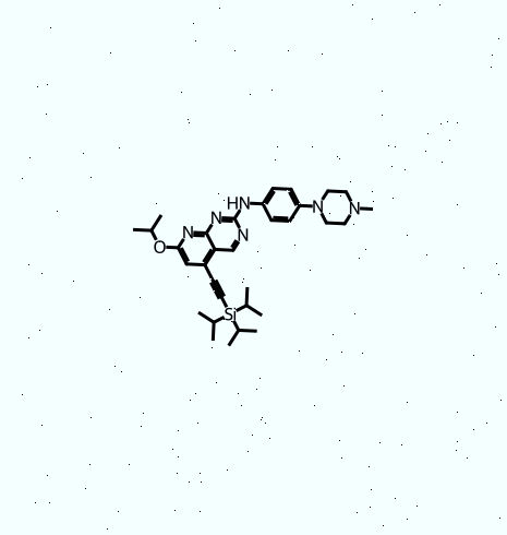 CC(C)Oc1cc(C#C[Si](C(C)C)(C(C)C)C(C)C)c2cnc(Nc3ccc(N4CCN(C)CC4)cc3)nc2n1